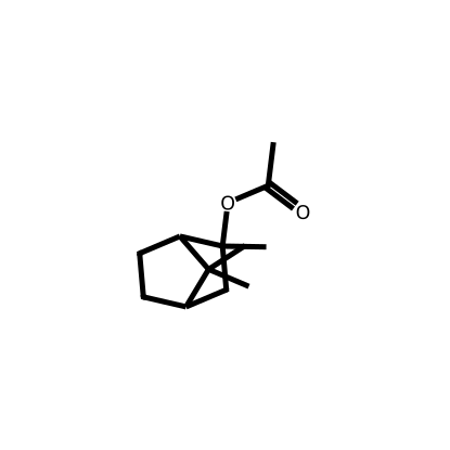 CC(=O)OC1(C)CC2CCC1C2(C)C